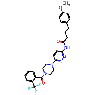 COc1ccc(CCCC(=O)Nc2ccc(N3CCN(C(=O)c4ccccc4C(F)(F)F)CC3)nn2)cc1